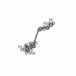 CCOc1cc(C(CS(C)(=O)=O)N2C(=O)c3cccc(NC(=O)CCCCCCCCCN4CCN(CC(=O)Nc5cccc(C6CCC(=O)NC6=O)c5)CC4)c3C2=O)ccc1OC